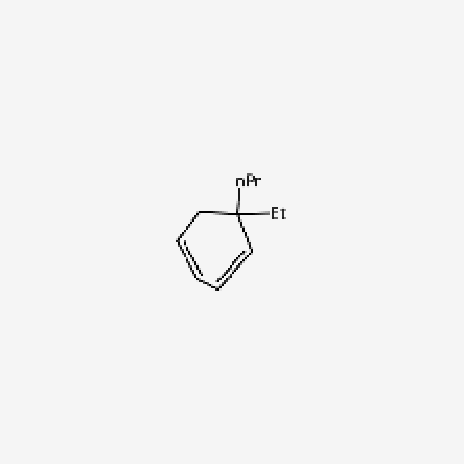 CCCC1(CC)C=CC=CC1